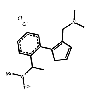 CC(c1ccccc1C1=C(CN(C)C)C=CC1)[N]([Ti+2])C(C)(C)C.[Cl-].[Cl-]